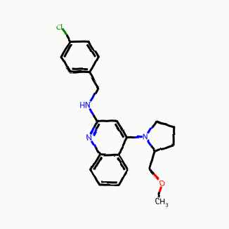 COCC1CCCN1c1cc(NCc2ccc(Cl)cc2)nc2ccccc12